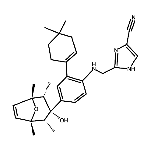 C[C@@H]1[C@@](O)(c2ccc(NCc3nc(C#N)c[nH]3)c(C3=CCC(C)(C)CC3)c2)[C@H](C)[C@]2(C)C=C[C@@]1(C)O2